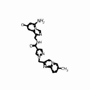 Cc1ccc2nc(Cn3cc(C(=O)NCc4ncn5c(N)cc(Cl)cc45)cn3)cn2c1